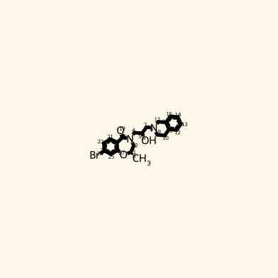 C[C@@H]1CN(CC(O)CN2CCc3ccccc3C2)C(=O)c2ccc(Br)cc2O1